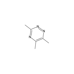 Cc1nnc(C)c(C)n1